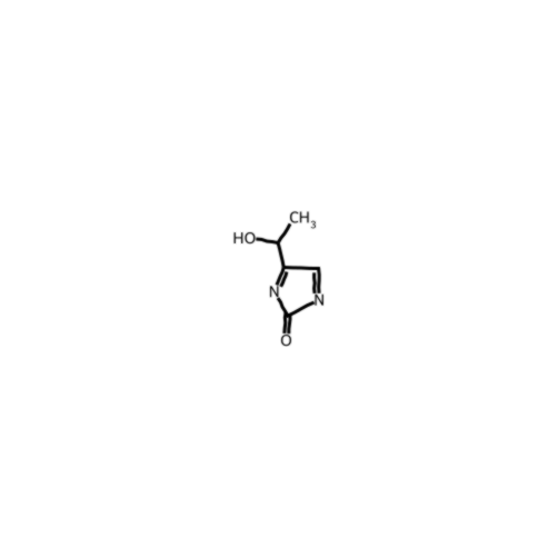 CC(O)C1=NC(=O)N=C1